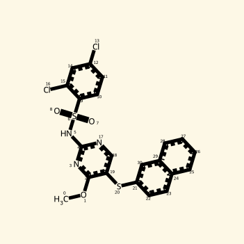 COc1nc(NS(=O)(=O)c2ccc(Cl)cc2Cl)ncc1Sc1ccc2ccccc2c1